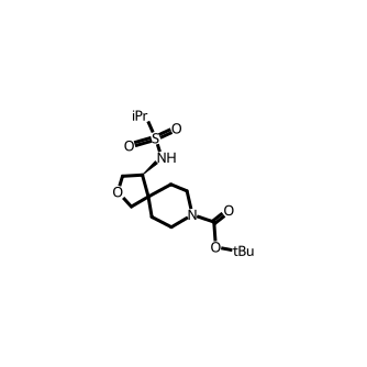 CC(C)S(=O)(=O)N[C@@H]1COCC12CCN(C(=O)OC(C)(C)C)CC2